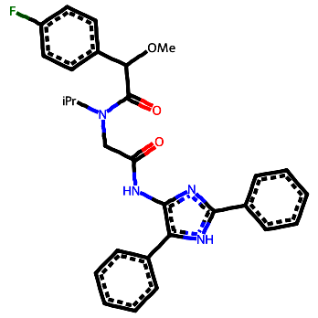 COC(C(=O)N(CC(=O)Nc1nc(-c2ccccc2)[nH]c1-c1ccccc1)C(C)C)c1ccc(F)cc1